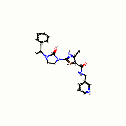 Cc1nc(N2CCN(C(C)c3ccccc3)C2=O)sc1C(=O)NCc1cccnc1